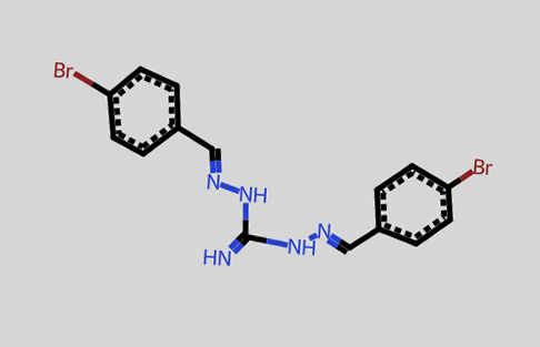 N=C(N/N=C/c1ccc(Br)cc1)N/N=C/c1ccc(Br)cc1